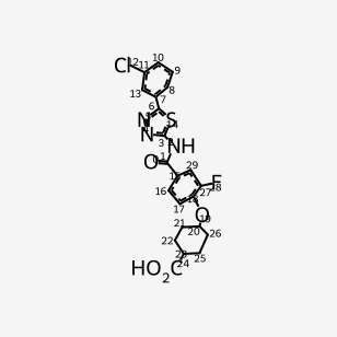 O=C(Nc1nnc(-c2cccc(Cl)c2)s1)c1ccc(OC2CCC(C(=O)O)CC2)c(F)c1